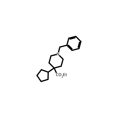 CCOC(=O)C1(C2CCCC2)CCN(Cc2ccccc2)CC1